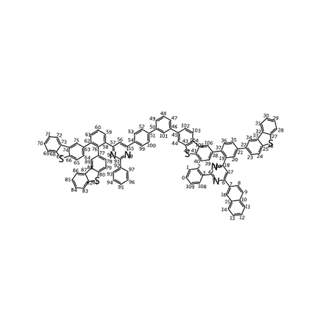 c1ccc(-c2nc(-c3ccc4ccccc4c3)cc(-c3cc(-c4ccc5sc6ccccc6c5c4)ccc3-c3ccc4sc5cc(-c6cccc(-c7ccc(-c8cc(-c9cccc(-c%10ccc%11sc%12ccccc%12c%11c%10)c9-c9ccc%10sc%11ccccc%11c%10c9)nc(-c9ccccc9)n8)cc7)c6)ccc5c4c3)n2)cc1